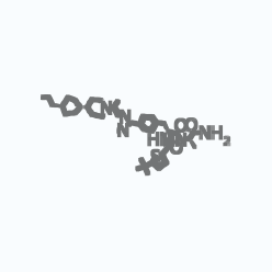 C=N/C(=N\C=C(/C)N1CCC([C@H]2CC[C@H](CCC)CC2)CC1)c1ccc(C[C@H](NC(=O)c2ccc(C(C)(C)C)s2)C(=O)N[C@H](C)C(N)=O)cc1